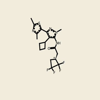 Cc1nc(C)c(-c2nn(C)c(NC(=O)C[C@@H]3CC(F)(F)C3(F)F)c2C2CCC2)s1